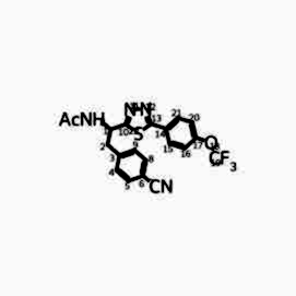 CC(=O)NC(Cc1ccc(C#N)cc1)c1nnc(-c2ccc(OC(F)(F)F)cc2)s1